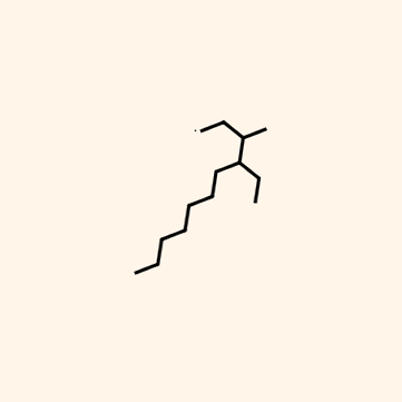 [CH2]CC(C)C(CC)CCCCCCC